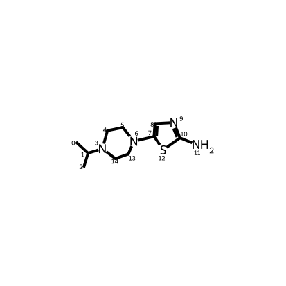 CC(C)N1CCN(c2cnc(N)s2)CC1